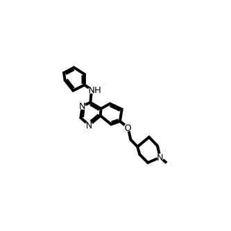 CN1CCC(COc2ccc3c(Nc4ccccc4)ncnc3c2)CC1